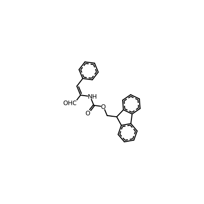 O=C/C(=C/c1ccccc1)NC(=O)OCC1c2ccccc2-c2ccccc21